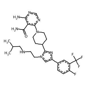 CC(C)CNCCn1cc(-c2ccc(F)c(C(F)(F)F)c2)nc1C1CCN(c2ncnc(N)c2C(N)=O)CC1